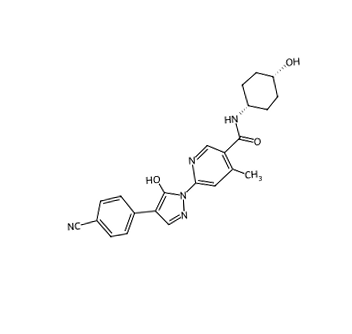 Cc1cc(-n2ncc(-c3ccc(C#N)cc3)c2O)ncc1C(=O)N[C@H]1CC[C@@H](O)CC1